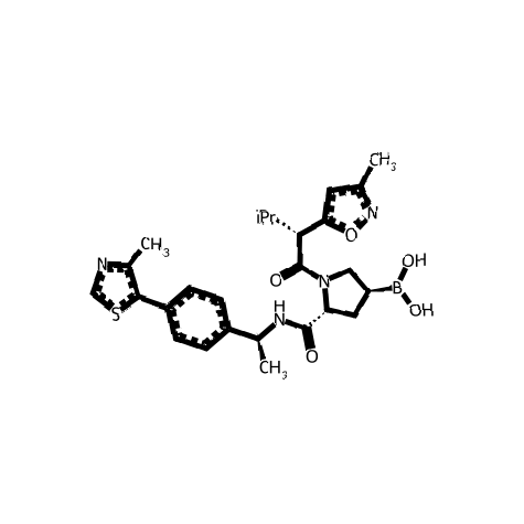 Cc1cc([C@H](C(=O)N2C[C@@H](B(O)O)C[C@@H]2C(=O)N[C@@H](C)c2ccc(-c3scnc3C)cc2)C(C)C)on1